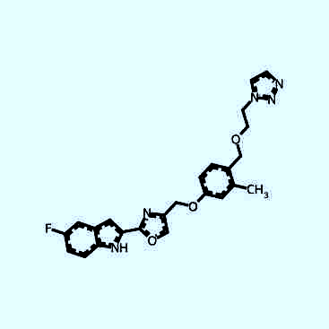 Cc1cc(OCc2coc(-c3cc4cc(F)ccc4[nH]3)n2)ccc1COCCn1ccnn1